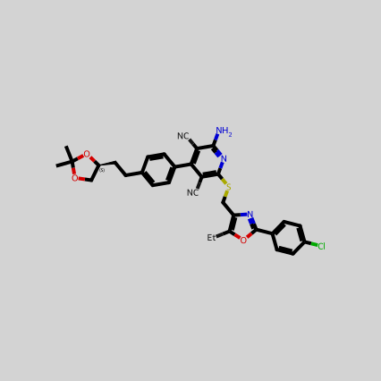 CCc1oc(-c2ccc(Cl)cc2)nc1CSc1nc(N)c(C#N)c(-c2ccc(CC[C@H]3COC(C)(C)O3)cc2)c1C#N